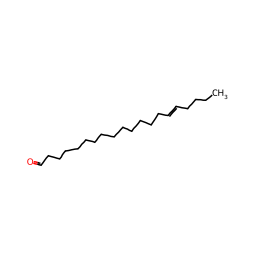 CCCCC=CCCCCCCCCCCCCCC=O